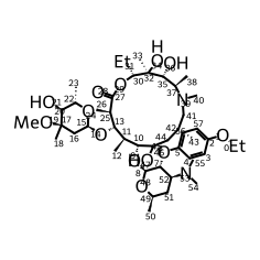 CCOc1ccc(O[C@H]2[C@H](O[C@@H]3[C@@H](C)[C@H](O[C@H]4C[C@@](C)(OC)[C@@H](O)[C@H](C)O4)[C@@H](C)C(=O)O[C@H](CC)[C@@](C)(O)[C@H](O)[C@@H](C)N(C)C[C@H](C)C[C@@]3(C)O)O[C@H](C)C[C@@H]2N(C)C)cc1